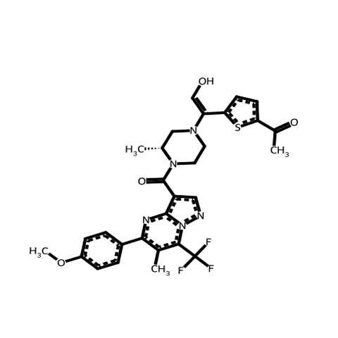 COc1ccc(-c2nc3c(C(=O)N4CCN(/C(=C/O)c5ccc(C(C)=O)s5)C[C@H]4C)cnn3c(C(F)(F)F)c2C)cc1